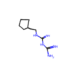 N=C(N)NC(=N)NCC1CCCC1